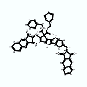 O=C(OCc1ccccc1)C1(C(=O)OCc2ccccc2)C(N=c2c(=O)c3cc4ccccc4cc3c2=O)=Cc2sc3c(sc4cc(N=c5c(=O)c6cc7ccccc7cc6c5=O)sc43)c21